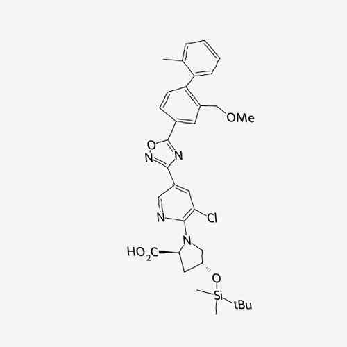 COCc1cc(-c2nc(-c3cnc(N4C[C@H](O[Si](C)(C)C(C)(C)C)C[C@H]4C(=O)O)c(Cl)c3)no2)ccc1-c1ccccc1C